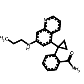 CCCNc1cc(C2(c3ccccc3C(N)=O)CC2)c2cccnc2c1